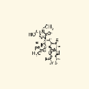 CCn1c(CO)nn(-c2cc(OC(C)C(F)(F)F)c3c(Oc4c(F)cccc4Cl)ncc(F)c3c2)c1=O